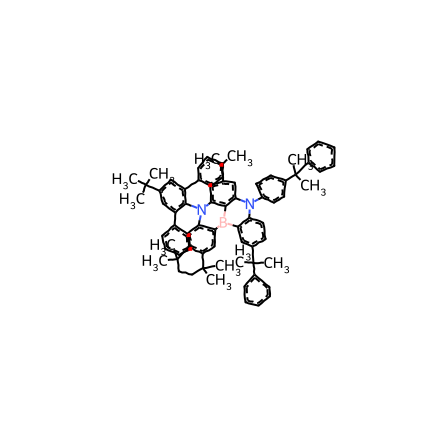 CC(C)c1cc2c3c(c1)N(c1c(-c4ccccc4)cc(C(C)(C)C)cc1-c1ccccc1)c1cc4c(cc1B3c1cc(C(C)(C)c3ccccc3)ccc1N2c1ccc(C(C)(C)c2ccccc2)cc1)C(C)(C)CCC4(C)C